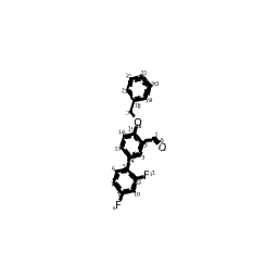 O=Cc1cc(-c2ccc(F)cc2F)ccc1OCc1ccccc1